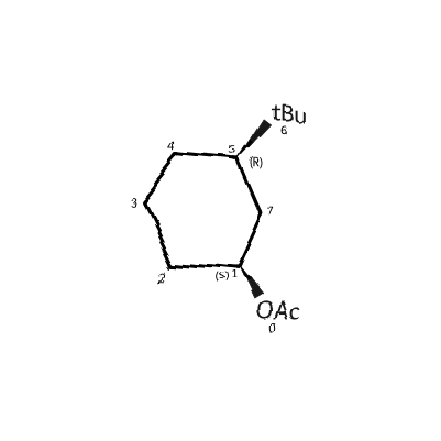 CC(=O)O[C@H]1CCC[C@@H](C(C)(C)C)C1